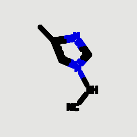 Cc1cn(BC#N)cn1